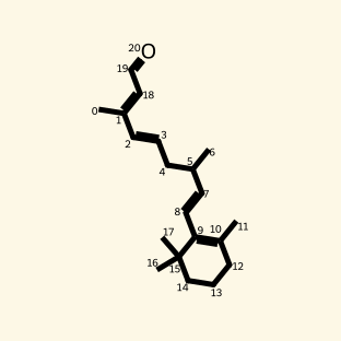 CC(C=CCC(C)C=CC1=C(C)CCCC1(C)C)=CC=O